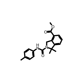 COC(=O)c1cccc2c1CN(C(=O)Nc1ccc(C)cc1)C2(C)C